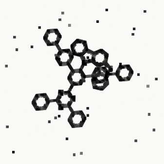 c1ccc(-c2ccc(-c3cc(-c4nc(-c5ccccc5)nc(-c5ccccc5)n4)cc(-c4ccc(-c5ccccc5)cc4)c3-n3c4ccccc4c4ccc5sc6ccccc6c5c43)cc2)cc1